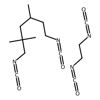 CC(CCN=C=O)CC(C)(C)CN=C=O.O=C=NCCN=C=O